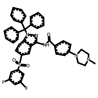 CN1CCN(c2ccc(C(=O)Nc3nn(C(c4ccccc4)(c4ccccc4)c4ccccc4)c4ccc(S(=O)(=O)c5cc(F)cc(F)c5)cc34)cc2)CC1